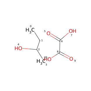 CCC(C)O.O=C(O)C(=O)O